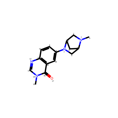 CN1CC2CC1CN2c1ccc2ncn(C)c(=O)c2c1